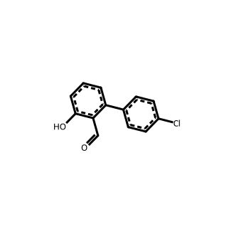 O=Cc1c(O)cccc1-c1ccc(Cl)cc1